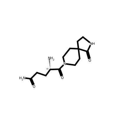 NC(=O)CC[C@H](N)C(=O)N1CCC2(CCNC2=O)CC1